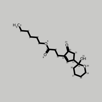 CCCCCCOC(=O)CCC1=CC(C2(O)CCCCO2)CC1=O